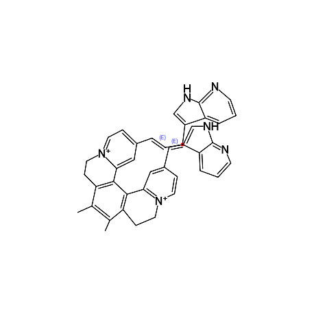 Cc1c(C)c2c(c3c1CC[n+]1ccc(/C=C/c4c[nH]c5ncccc45)cc1-3)-c1cc(/C=C/c3c[nH]c4ncccc34)cc[n+]1CC2